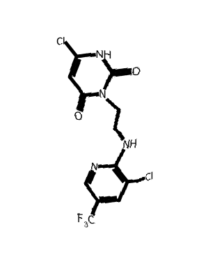 O=c1cc(Cl)[nH]c(=O)n1CCNc1ncc(C(F)(F)F)cc1Cl